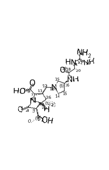 C[C@@H](O)C1C(=O)N2C(C(=O)O)=C(CN3CC[C@H](NC(=O)CNC(=N)N)C3)[C@H](C)[C@H]12